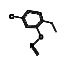 C=NOc1cc(Cl)ccc1CC